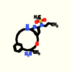 CCCN(c1cc2cc(n1)NCCCCc1cccc(c1)CC(C)(N)COC2)S(C)(=O)=O